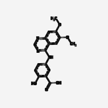 COc1cc2ncnc(Nc3ccc(O)c(C(=O)O)c3)c2cc1OC